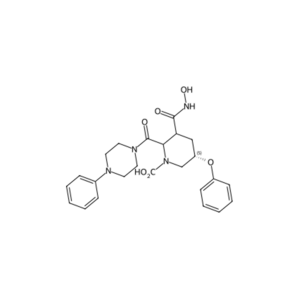 O=C(NO)C1C[C@H](Oc2ccccc2)CN(C(=O)O)C1C(=O)N1CCN(c2ccccc2)CC1